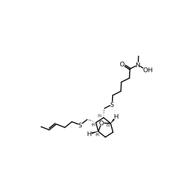 CC=CCCSC[C@@H]1[C@H](CSCCCCC(=O)N(C)O)[C@@H]2CC[C@H]1O2